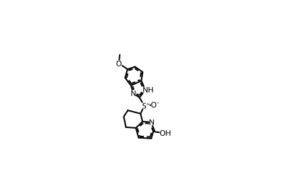 COc1ccc2[nH]c([S+]([O-])C3CCCc4ccc(O)nc43)nc2c1